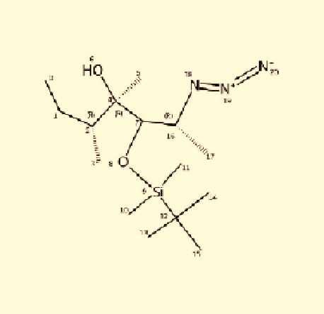 CC[C@@H](C)[C@@](C)(O)C(O[Si](C)(C)C(C)(C)C)[C@@H](C)N=[N+]=[N-]